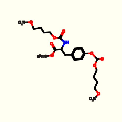 CCCCCOC(=O)C(Cc1ccc(OC(=O)OCCCCO[N+](=O)[O-])cc1)NC(=O)OCCCCO[N+](=O)[O-]